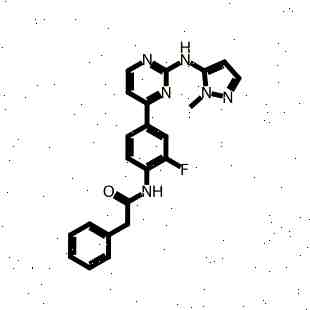 Cn1nccc1Nc1nccc(-c2ccc(NC(=O)Cc3ccccc3)c(F)c2)n1